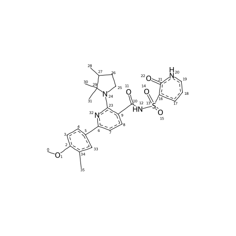 COc1ccc(-c2ccc(C(=O)NS(=O)(=O)c3ccc[nH]c3=O)c(N3CCC(C)C3(C)C)n2)cc1C